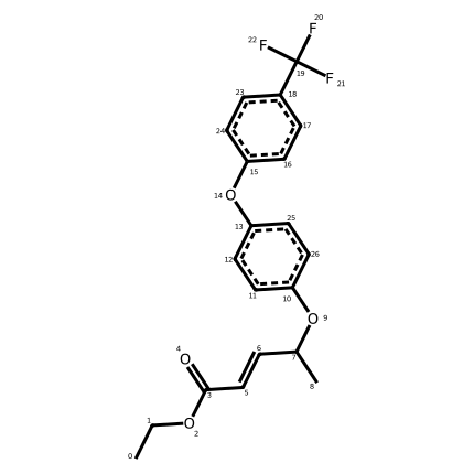 CCOC(=O)/C=C/C(C)Oc1ccc(Oc2ccc(C(F)(F)F)cc2)cc1